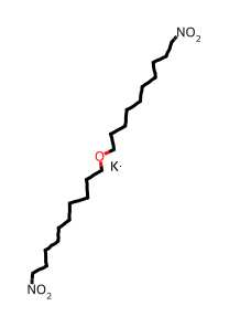 O=[N+]([O-])CCCCCCCCCCOCCCCCCCCCC[N+](=O)[O-].[K]